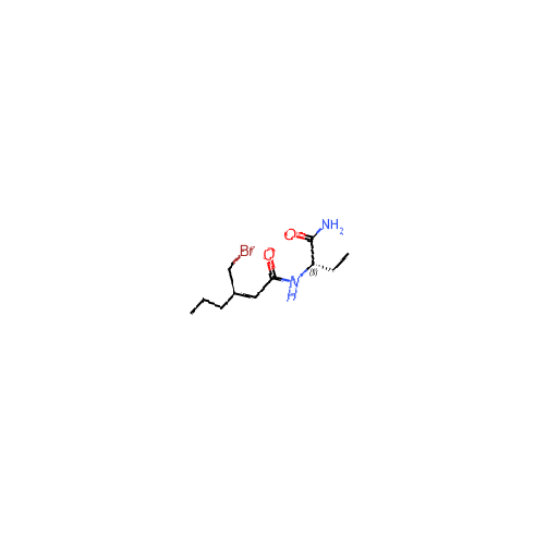 CCCC(CBr)CC(=O)N[C@@H](CC)C(N)=O